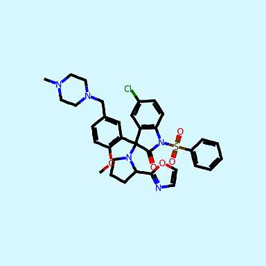 COc1ccc(CN2CCN(C)CC2)cc1C1(N2CCCC2c2ncco2)C(=O)N(S(=O)(=O)c2ccccc2)c2ccc(Cl)cc21